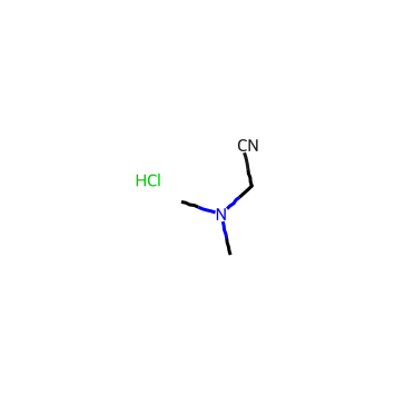 CN(C)CC#N.Cl